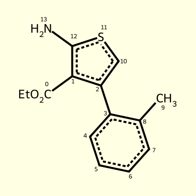 CCOC(=O)c1c(-c2ccccc2C)csc1N